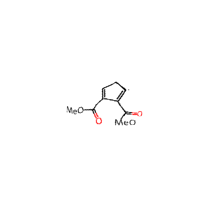 COC(=O)C1=[C]CC=C1C(=O)OC